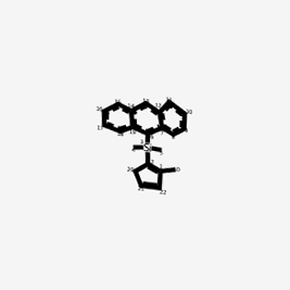 CC1=C([Si](C)(C)c2c3ccccc3cc3ccccc23)CC=C1